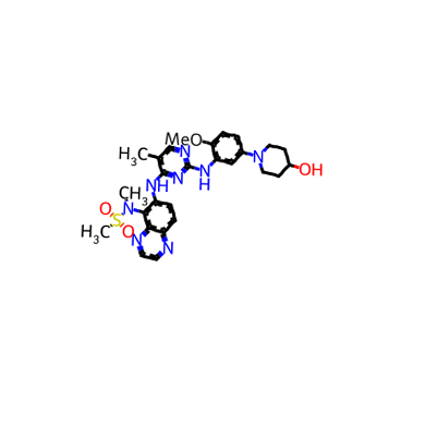 COc1ccc(N2CCC(O)CC2)cc1Nc1ncc(C)c(Nc2ccc3nccnc3c2N(C)S(C)(=O)=O)n1